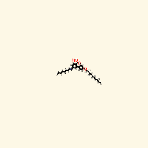 CCCCCCC/C=C/c1ccc(C(=O)O)c(-c2ccc(OCCCCCCCCCC)cc2)c1